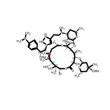 CC[C@H]1OC(=O)[C@H](C)[C@@H](O[C@H]2C[C@@](C)(OC)C[C@H](C)O2)[C@H](C)[C@@H](O[C@@H]2O[C@H](C)C[C@H](N(C)CCC3=CN([C@H](CF)[C@H](OC)c4ccc(N(C)C)cc4)NN3)[C@H]2O)[C@](C)(O)C[C@@H](C)CN(C)[C@H](C)[C@@H](O)[C@]1(C)O